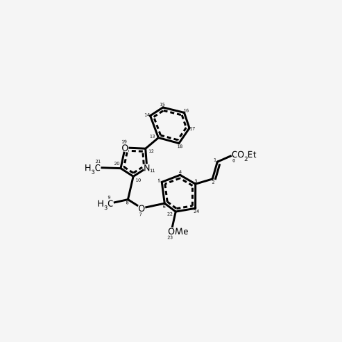 CCOC(=O)C=Cc1ccc(OC(C)c2nc(-c3ccccc3)oc2C)c(OC)c1